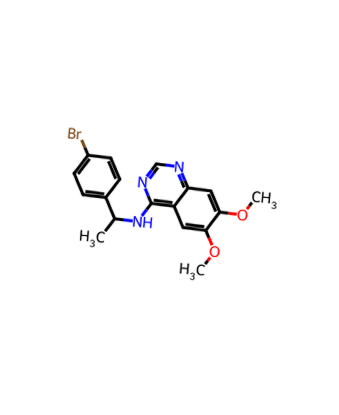 COc1cc2ncnc(NC(C)c3ccc(Br)cc3)c2cc1OC